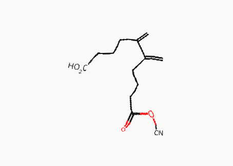 C=C(CCCC(=O)O)C(=C)CCCC(=O)OC#N